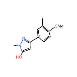 CSc1ccc(-c2cc(O)n(C)n2)cc1C